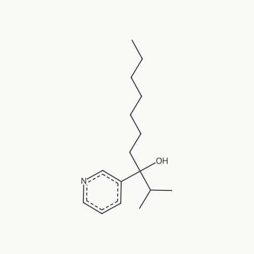 CCCCCCCC(O)(c1cccnc1)C(C)C